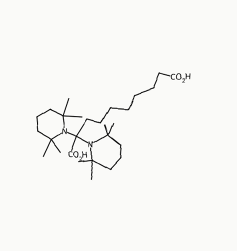 CC1(C)CCCC(C)(C)N1C(CCCCCCCC(=O)O)(C(=O)O)N1C(C)(C)CCCC1(C)C